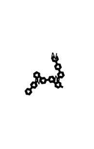 Cc1ccc2c3cc(-c4ccc5c(c4)c4ccccc4n5-c4ccc(-c5ccccc5)cc4)ccc3n(-c3cccc(-c4ccc(-c5ccncc5)cc4)c3)c2c1